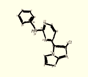 Clc1nc2sccn2c1-c1ccnc(Nc2ccccc2)n1